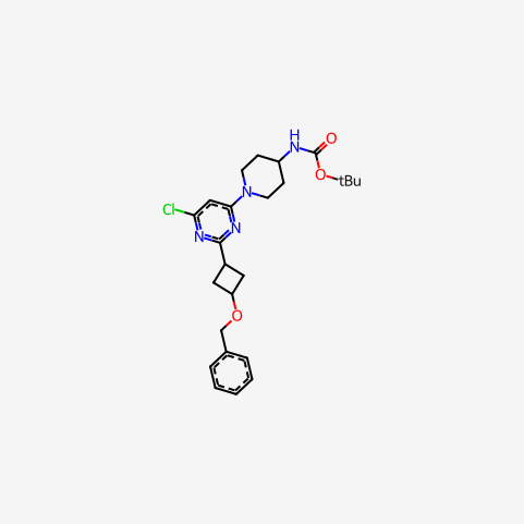 CC(C)(C)OC(=O)NC1CCN(c2cc(Cl)nc(C3CC(OCc4ccccc4)C3)n2)CC1